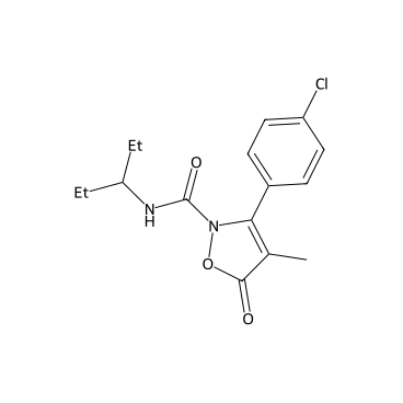 CCC(CC)NC(=O)n1oc(=O)c(C)c1-c1ccc(Cl)cc1